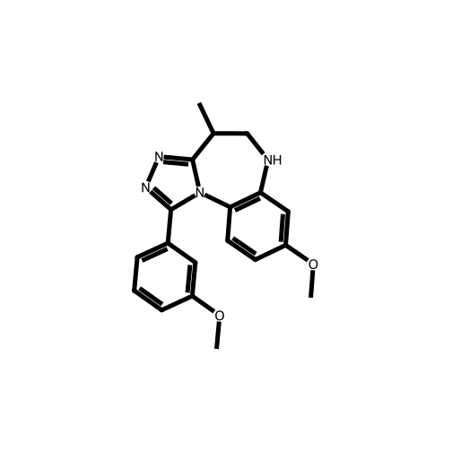 COc1cccc(-c2nnc3n2-c2ccc(OC)cc2NCC3C)c1